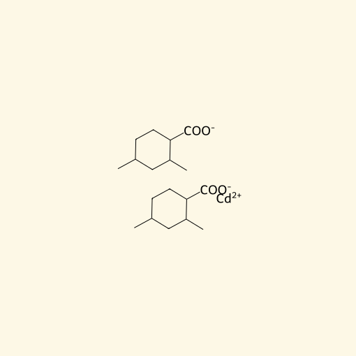 CC1CCC(C(=O)[O-])C(C)C1.CC1CCC(C(=O)[O-])C(C)C1.[Cd+2]